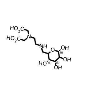 O=C(O)CN(CCNCC1O[C@@H](O)C(O)[C@@H](O)[C@@H]1O)CC(=O)O